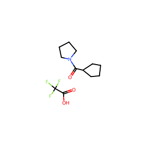 O=C(C1CCCC1)N1CCCC1.O=C(O)C(F)(F)F